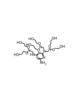 Nc1nc(NCN(OCCO)OCCO)nc(N(CN(OCCO)OCCO)CN(OCCO)OCCO)n1